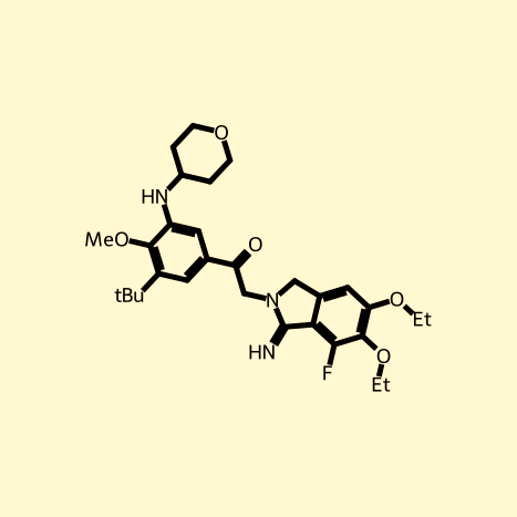 CCOc1cc2c(c(F)c1OCC)C(=N)N(CC(=O)c1cc(NC3CCOCC3)c(OC)c(C(C)(C)C)c1)C2